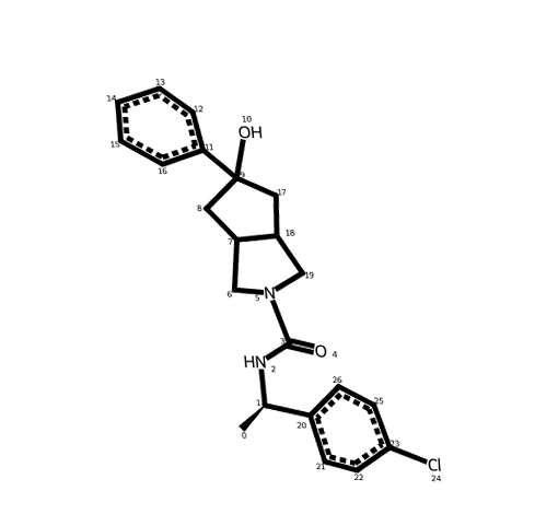 C[C@@H](NC(=O)N1CC2CC(O)(c3ccccc3)CC2C1)c1ccc(Cl)cc1